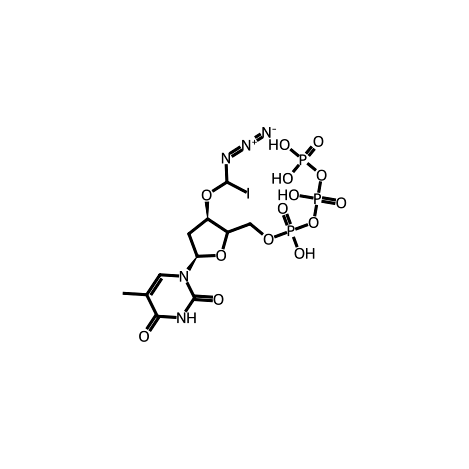 Cc1cn([C@H]2C[C@@H](OC(I)N=[N+]=[N-])C(COP(=O)(O)OP(=O)(O)OP(=O)(O)O)O2)c(=O)[nH]c1=O